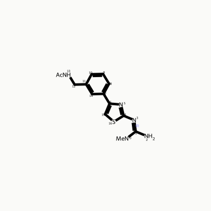 CN/C(N)=N\c1nc(-c2cccc(CNC(C)=O)c2)cs1